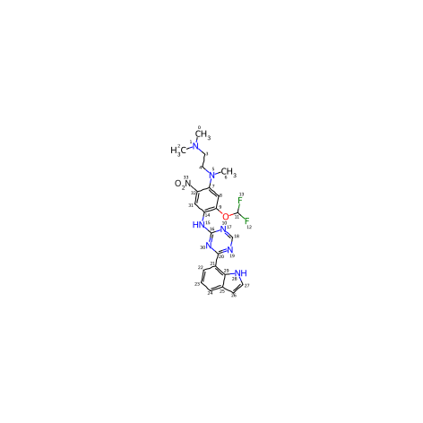 CN(C)CCN(C)c1cc(OC(F)F)c(Nc2ncnc(-c3cccc4cc[nH]c34)n2)cc1[N+](=O)[O-]